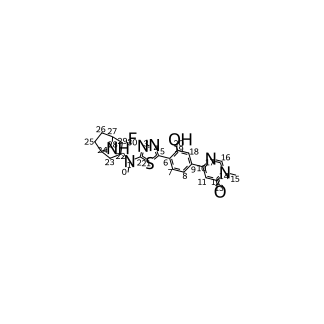 CN(c1nnc(-c2ccc(-c3cc(=O)n(C)cn3)cc2O)s1)[C@@H]1CC2CCC(N2)[C@@H]1F